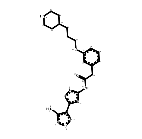 Nc1nonc1-c1nnc(NC(=O)Cc2cccc(OCCCC3CCNCC3)c2)s1